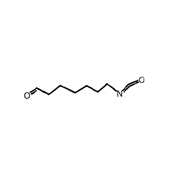 O=C=NCCCCCCC=O